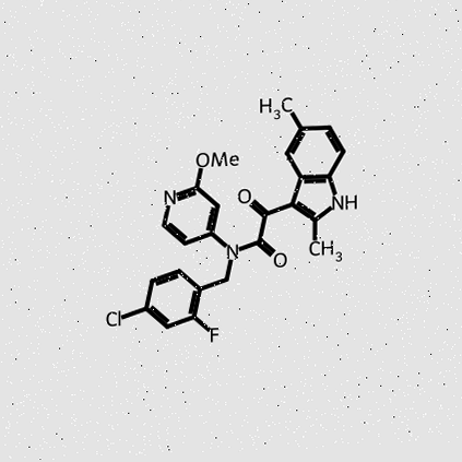 COc1cc(N(Cc2ccc(Cl)cc2F)C(=O)C(=O)c2c(C)[nH]c3ccc(C)cc23)ccn1